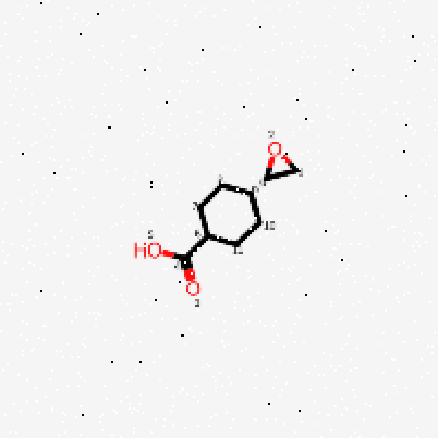 C1CO1.O=C(O)C1CCCCC1